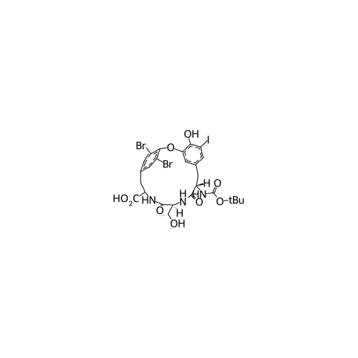 C[C@@H](O)[C@@H]1NC(=O)[C@@H](NC(=O)OC(C)(C)C)Cc2cc(I)c(O)c(c2)Oc2c(Br)cc(cc2Br)CC(C(=O)O)NC1=O